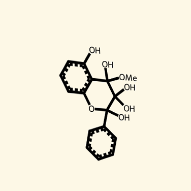 COC1(O)c2c(O)cccc2OC(O)(c2ccccc2)C1(O)O